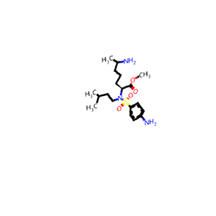 COC(=O)[C@H](CCCC(C)N)N(CCC(C)C)S(=O)(=O)c1ccc(N)cc1